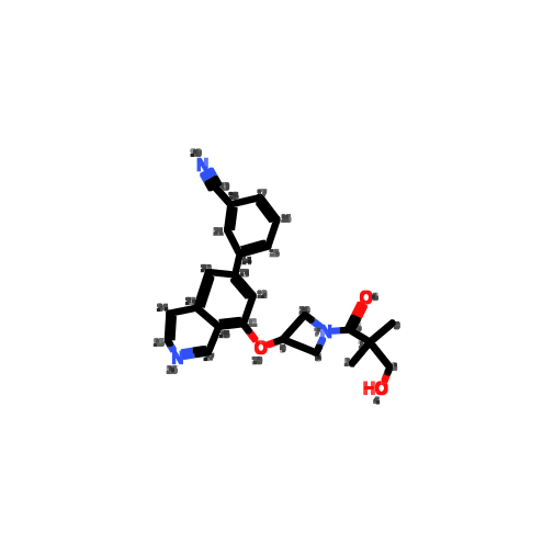 CC(C)(CO)C(=O)N1CC(Oc2cc(-c3cccc(C#N)c3)cc3ccncc23)C1